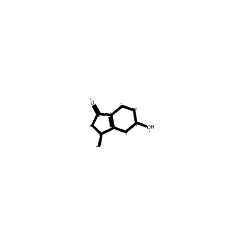 CC1CC(=O)C2=C1CC(O)CC2